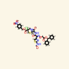 O=CNc1nc(C(=NOCC(=O)OC(c2ccccc2)c2ccccc2)C(=O)NC2C(=O)N3CC(Cl)(C(=O)OCc4ccc([N+](=O)[O-])cc4)CS[C@H]23)cs1